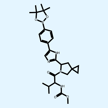 COC(=O)NC(C(=O)N1CC2(CC2)CC1c1ncc(-c2ccc(B3OC(C)(C)C(C)(C)O3)cc2)[nH]1)C(C)C